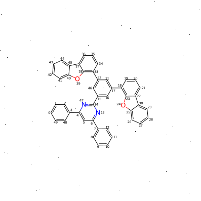 c1ccc(-c2cc(-c3ccccc3)nc(-c3cc(-c4cccc5c4oc4ccccc45)cc(-c4cccc5c4oc4ccccc45)c3)n2)cc1